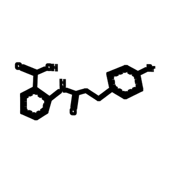 O=C(CCc1ccc(Br)cc1)Nc1ccccc1C(=O)O